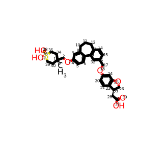 CC1(COc2ccc3c(c2)CCCc2ccc(COc4ccc5c(c4)OC[C@H]5CC(=O)O)cc2-3)CCS(O)(O)CC1